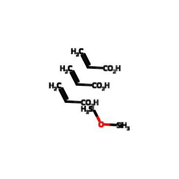 C=CC(=O)O.C=CC(=O)O.C=CC(=O)O.[SiH3]O[SiH3]